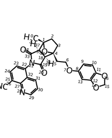 C[C@@]12CC[C@@](CCOc3ccc4c(c3)OCO4)(O1)[C@H]1C(=O)N(c3ccc(C#N)c4ncccc34)C(=O)[C@H]12